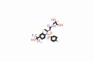 C[C@](O)(CO)CNC(=O)C[C@@H]1CSc2cc(C(O)(C(F)(F)F)C(F)(F)F)ccc2N1S(=O)(=O)c1ccc(F)cc1